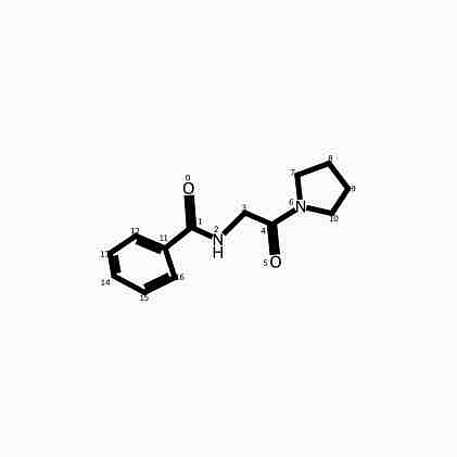 O=C(NCC(=O)N1CCCC1)c1ccccc1